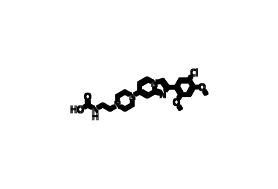 COc1cc(OC)c(-c2cn3ccc(N4CCN(CCNC(=O)O)CC4)cc3n2)cc1Cl